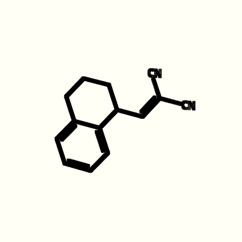 N#CC(C#N)=CC1CCCc2ccccc21